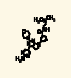 CN(C)CCNC(=O)c1cccc(N2CCc3c(-c4cnc(N)nc4)nc(N4CCOCC4)nc32)c1